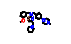 COc1cccc(CN(Cc2ccc(N3CCN(C)CC3)cc2)c2nc(CN3CCCCC3)cs2)c1